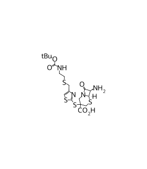 CC(C)(C)OC(=O)NCCSCc1csc(SC2(C(=O)O)CS[C@@H]3[C@H](N)C(=O)N3C2)n1